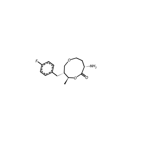 C[C@@H]1OC(=O)[C@@H](N)CCOC[C@H]1Cc1ccc(F)cc1